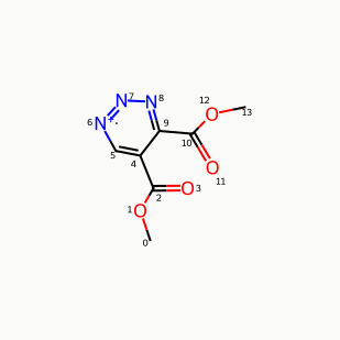 COC(=O)C1=C[N+]=NN=C1C(=O)OC